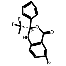 O=C1O[C@@](c2ccccc2)(C(F)(F)F)Nc2ccc(Br)cc21